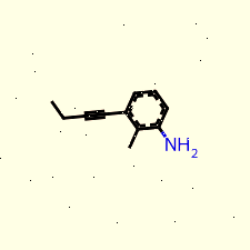 CCC#Cc1cccc(N)c1C